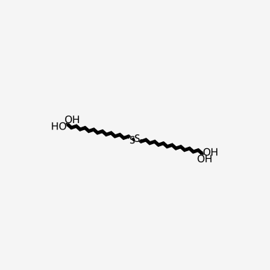 OC(O)CCCCCCCCCCCCCCSSCCCCCCCCCCCCCCC(O)O